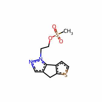 CS(=O)(=O)OCCn1ncc2c1-c1ccsc1C2